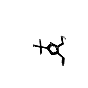 CCn1nc(C(F)(F)F)cc1C=O